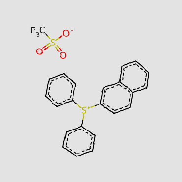 O=S(=O)([O-])C(F)(F)F.c1ccc([S+](c2ccccc2)c2ccc3ccccc3c2)cc1